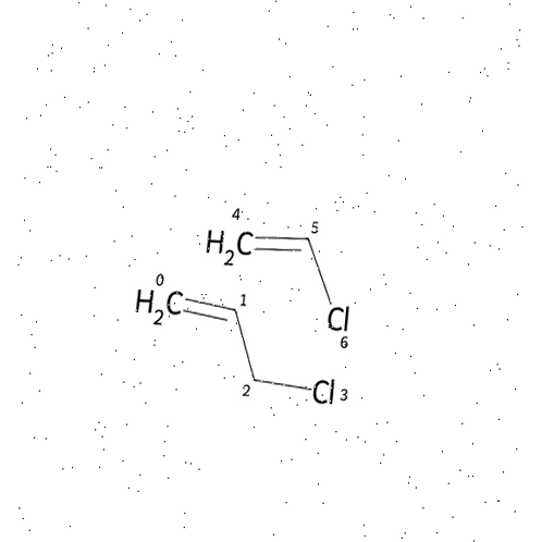 C=CCCl.C=CCl